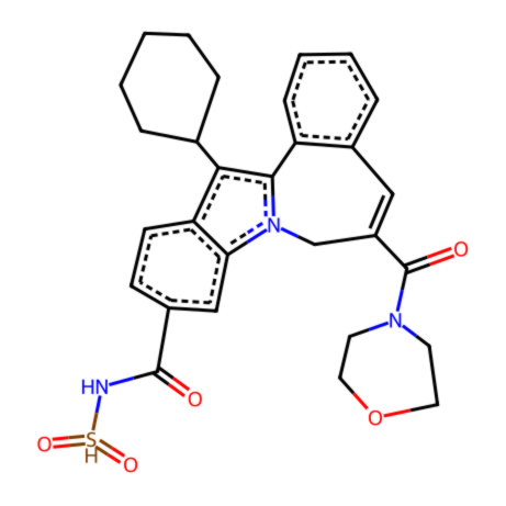 O=C(N[SH](=O)=O)c1ccc2c(C3CCCCC3)c3n(c2c1)CC(C(=O)N1CCOCC1)=Cc1ccccc1-3